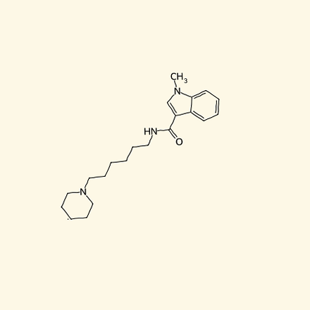 Cn1cc(C(=O)NCCCCCCN2CC[CH]CC2)c2ccccc21